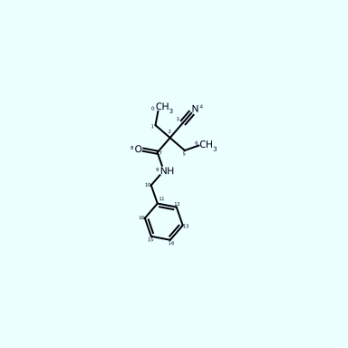 CCC(C#N)(CC)C(=O)NCc1ccccc1